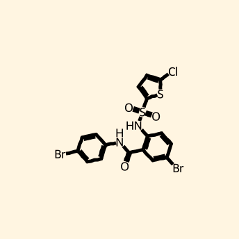 O=C(Nc1ccc(Br)cc1)c1cc(Br)ccc1NS(=O)(=O)c1ccc(Cl)s1